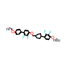 CCCCOc1ccc(C2CCC(COc3ccc(-c4ccc(OCCC)cc4)c(F)c3F)CC2)c(F)c1F